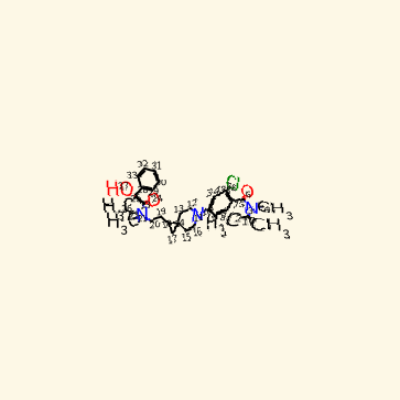 CC(C)N(C)C(=O)c1ccc(N2CCC3(CC2)CC3CCN(C)C(=O)[C@](C)(O)c2ccccc2)cc1Cl